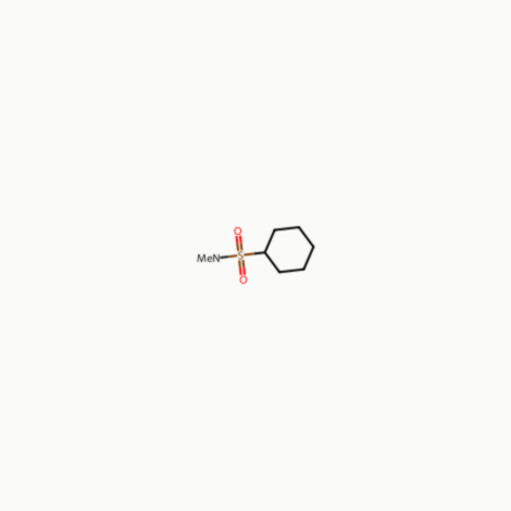 CNS(=O)(=O)C1CCCCC1